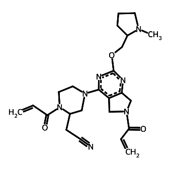 C=CC(=O)N1Cc2nc(OCC3CCCN3C)nc(N3CCN(C(=O)C=C)C(CC#N)C3)c2C1